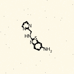 Nc1ccc2nc(NCc3ncccn3)sc2c1